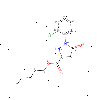 CCCCCOC(=O)C1CC(=O)N(c2ncccc2Cl)N1